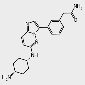 NC(=O)Cc1cccc(-c2cnc3ccc(N[C@H]4CC[C@H](N)CC4)nn23)c1